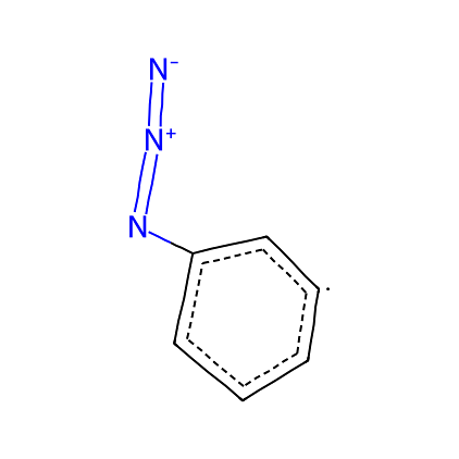 [N-]=[N+]=Nc1c[c]ccc1